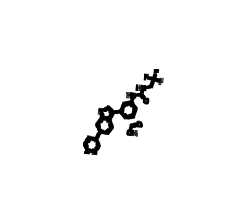 O=C(NCC(F)(F)F)Nc1cccc(-c2cnc3cc(-c4ccnnc4)ccn23)c1.O=CO